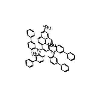 Cc1ccc(-c2ccccc2)cc1N(c1cc(-c2ccccc2)ccc1C(C)(C)C)c1cc(N(c2cc(-c3ccccc3)ccc2C)c2cc(-c3ccccc3)ccc2C(C)(C)C)c2ccc3cc(C(C)(C)C)cc4ccc1c2c43